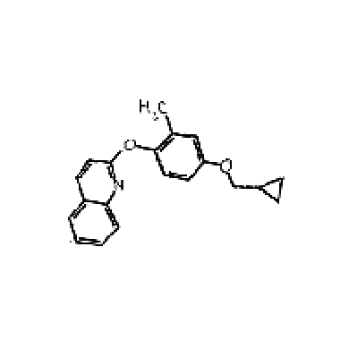 Cc1cc(OCC2CC2)ccc1Oc1ccc2c[c]ccc2n1